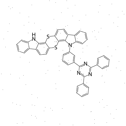 c1ccc(-c2nc(-c3ccccc3)nc(-c3cccc(-n4c5ccccc5c5ccc6c(c54)Sc4ccc5c([nH]c7ccccc75)c4S6)c3)n2)cc1